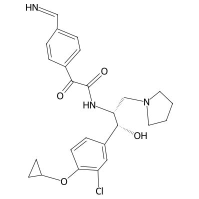 N=Cc1ccc(C(=O)C(=O)N[C@H](CN2CCCC2)[C@H](O)c2ccc(OC3CC3)c(Cl)c2)cc1